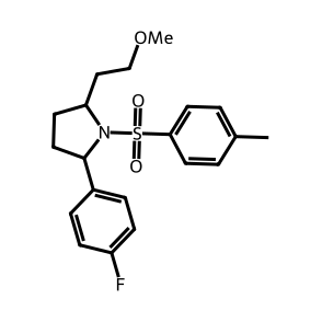 COCCC1CCC(c2ccc(F)cc2)N1S(=O)(=O)c1ccc(C)cc1